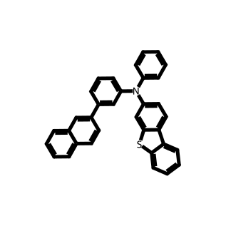 c1ccc(N(c2cccc(-c3ccc4ccccc4c3)c2)c2ccc3c(c2)sc2ccccc23)cc1